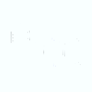 CC(=NC(C#N)=C(N)C#N)c1ccccc1